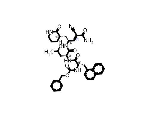 CC(C)C[C@H](NC(=O)[C@H](Cc1cccc2ccccc12)NC(=O)OCc1ccccc1)C(=O)N[C@H](/C=C(\C#N)C(N)=O)C[C@@H]1CCCNC1=O